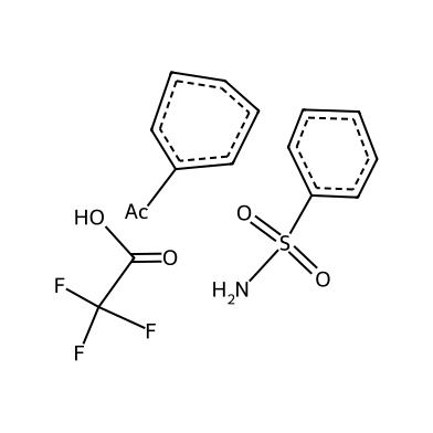 CC(=O)c1ccccc1.NS(=O)(=O)c1ccccc1.O=C(O)C(F)(F)F